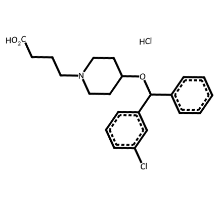 Cl.O=C(O)CCCN1CCC(OC(c2ccccc2)c2cccc(Cl)c2)CC1